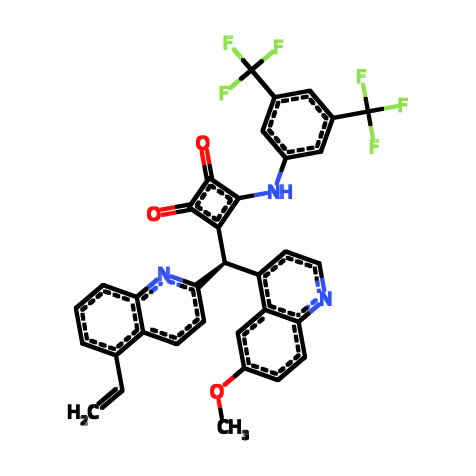 C=Cc1cccc2nc([C@@H](c3c(Nc4cc(C(F)(F)F)cc(C(F)(F)F)c4)c(=O)c3=O)c3ccnc4ccc(OC)cc34)ccc12